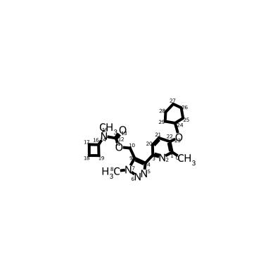 Cc1nc(-c2nnn(C)c2COC(=O)N(C)C2CCC2)ccc1OC1CCCCC1